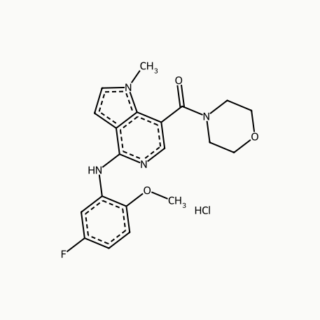 COc1ccc(F)cc1Nc1ncc(C(=O)N2CCOCC2)c2c1ccn2C.Cl